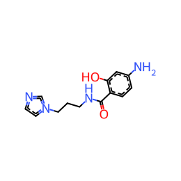 Nc1ccc(C(=O)NCCCn2ccnc2)c(O)c1